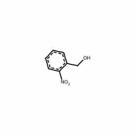 O=[N+]([O-])c1[c]cccc1CO